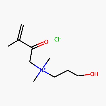 C=C(C)C(=O)C[N+](C)(C)CCCO.[Cl-]